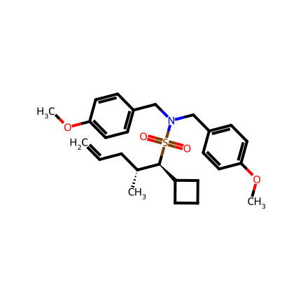 C=CC[C@@H](C)[C@H](C1CCC1)S(=O)(=O)N(Cc1ccc(OC)cc1)Cc1ccc(OC)cc1